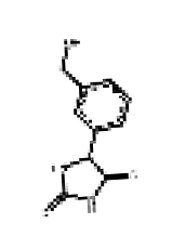 O=C1NC(=O)C(c2cccc(CO)c2)N1